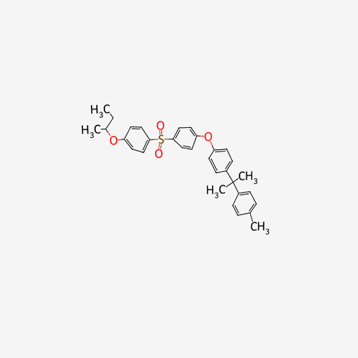 CCC(C)Oc1ccc(S(=O)(=O)c2ccc(Oc3ccc(C(C)(C)c4ccc(C)cc4)cc3)cc2)cc1